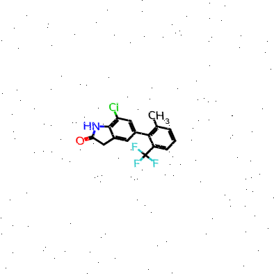 Cc1cccc(C(F)(F)F)c1-c1cc(Cl)c2c(c1)CC(=O)N2